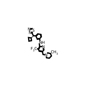 C[C@H]1CCCN(Cc2cnc(CNc3cccc([C@H](c4nncs4)C4CCC4)c3)c(C(F)(F)F)c2)C1